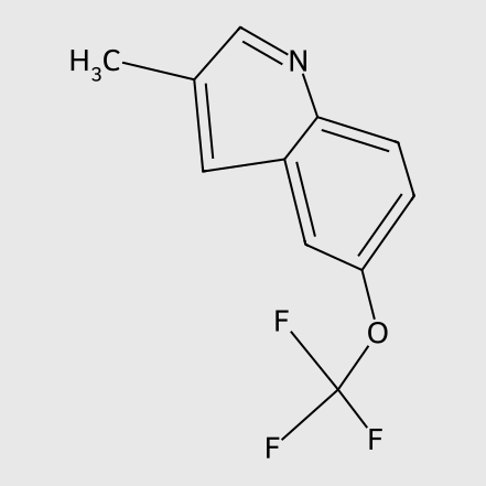 Cc1cnc2ccc(OC(F)(F)F)cc2c1